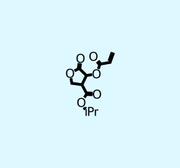 C=CC(=O)OC1C(=O)OCC1C(=O)OC(C)C